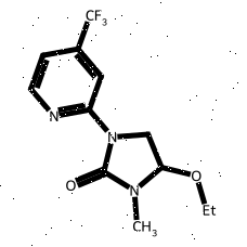 CCOC1CN(c2cc(C(F)(F)F)ccn2)C(=O)N1C